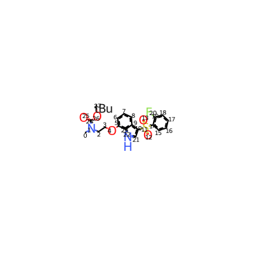 CN(CCOc1cccc2c(S(=O)(=O)c3ccccc3F)c[nH]c12)C(=O)OC(C)(C)C